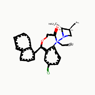 CC(=O)[C@H]1CN([N+]2(CC(C)(C)C)C(=O)COC(c3cccc4ccccc34)c3cc(Cl)ccc32)[C@@H]1C(=O)O